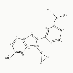 N#Cc1ccc2nc(-c3cnnc(C(F)F)c3)n(C3CC3)c2n1